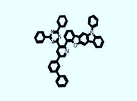 C1=CC(c2nc(-c3ccccc3)nc(-c3cc(-c4cccc(-c5ccccc5)c4)cnc3-c3cccc4c3oc3cc5c6ccccc6n(-c6ccccc6)c5cc34)n2)=CCC1